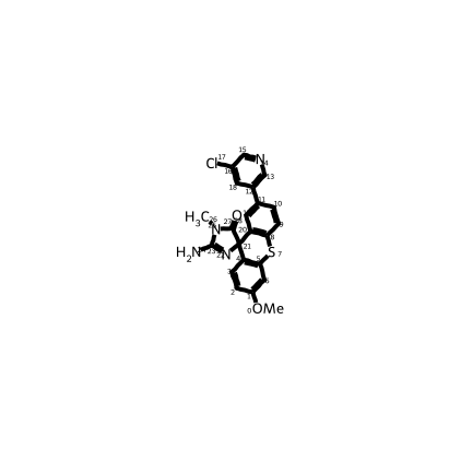 COc1ccc2c(c1)Sc1ccc(-c3cncc(Cl)c3)cc1C21N=C(N)N(C)C1=O